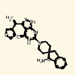 C=C(c1ccsc1)c1n[nH]c2nc(N3CCC4(CC3)Cc3ccccc3[C@H]4N)[nH]c(=O)c12